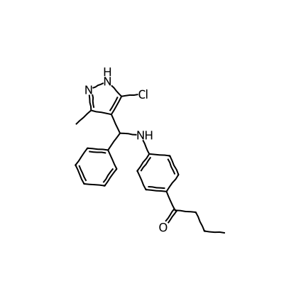 CCCC(=O)c1ccc(NC(c2ccccc2)c2c(C)n[nH]c2Cl)cc1